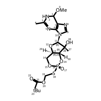 COC1NC(C)=Nc2c1ncn2[C@@H]1O[C@@H]2COP(=O)(SCOC(=O)C(C)(C)C)O[C@H]2[C@@]1(C)O